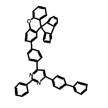 c1ccc(-c2ccc(-c3cc(-c4ccc(-c5ccc6c(c5)C5(c7ccccc7O6)c6ccccc6-c6ccccc65)cc4)nc(-c4ccccc4)n3)cc2)cc1